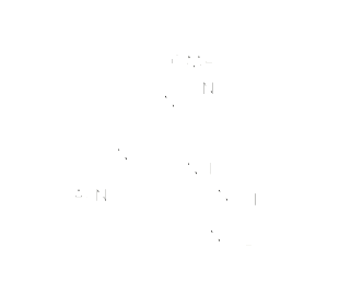 COc1nc(C)cc(-c2cnc(NC(C)=O)cc2Nc2cc(C)nc(C(C)(F)F)n2)n1